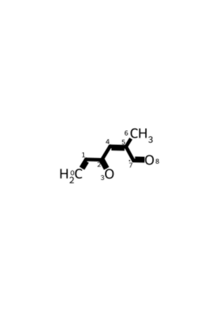 C=CC(=O)C=C(C)[C]=O